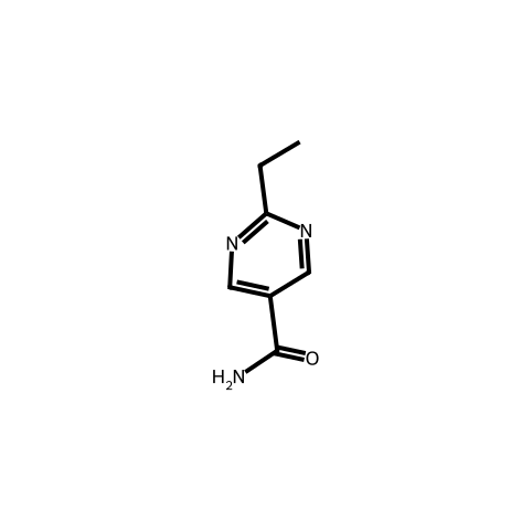 CCc1ncc(C(N)=O)cn1